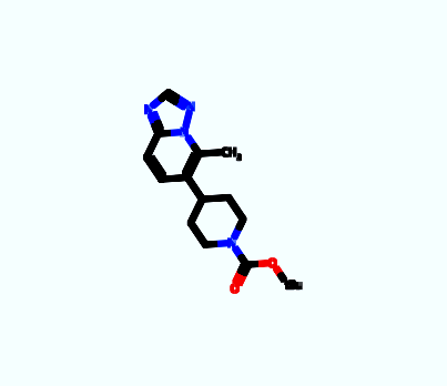 Cc1c(C2CCN(C(=O)OC(C)(C)C)CC2)ccc2ncnn12